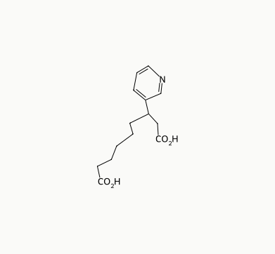 O=C(O)CCCCCC(CC(=O)O)c1cccnc1